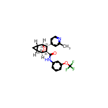 Cc1cc([C@H]2[C@H]3O[C@H]([C@@H]4C[C@@H]43)[C@@H]2C(=O)Nc2cccc(OC(F)(F)F)c2)ccn1